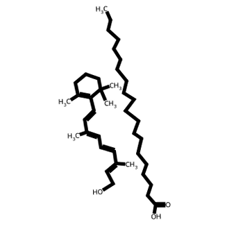 CC(C=CC1=C(C)CCCC1(C)C)=CC=CC(C)=CCO.CCCCCCCCCCCCCCCCCCCC(=O)O